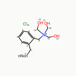 CCCCCCCCCCc1ccccc1C[N+](CO)(CO)CO.[Cl-]